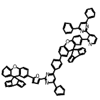 c1ccc(-c2cc(-c3ccc(-c4ccc5c(c4)C4(c6cc(-c7ncccc7-c7nc(-c8ccccc8)cc(-c8ccccc8)n7)ccc6O5)c5ccccc5-c5ccccc54)cc3)nc(-c3ccc(-c4ccc5c(c4)C4(c6ccccc6O5)c5ccccc5-c5ccccc54)o3)n2)cc1